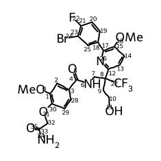 COc1cc(C(=O)NCC(CCO)(c2ccc(OC)c(-c3ccc(F)c(Br)c3)n2)C(F)(F)F)ccc1OCC(N)=O